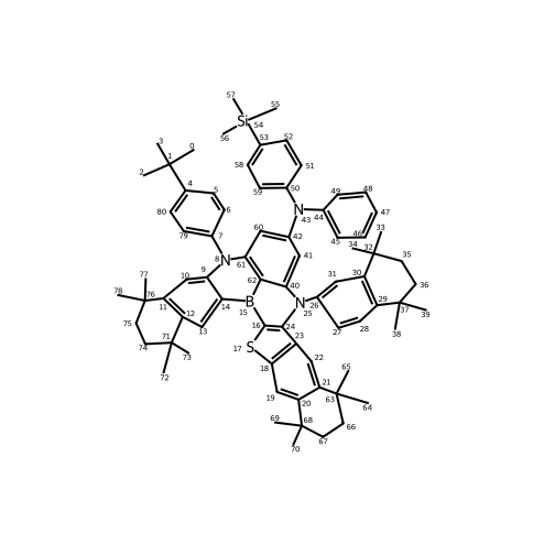 CC(C)(C)c1ccc(N2c3cc4c(cc3B3c5sc6cc7c(cc6c5N(c5ccc6c(c5)C(C)(C)CCC6(C)C)c5cc(N(c6ccccc6)c6ccc([Si](C)(C)C)cc6)cc2c53)C(C)(C)CCC7(C)C)C(C)(C)CCC4(C)C)cc1